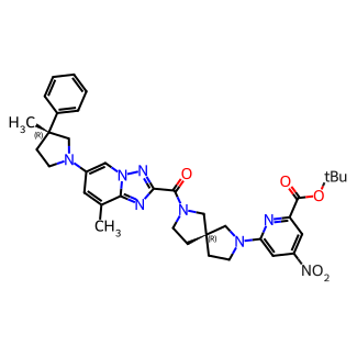 Cc1cc(N2CC[C@](C)(c3ccccc3)C2)cn2nc(C(=O)N3CC[C@@]4(CCN(c5cc([N+](=O)[O-])cc(C(=O)OC(C)(C)C)n5)C4)C3)nc12